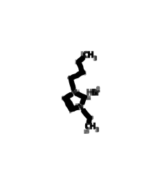 Br.CCCCN1C=CN(CC)C1